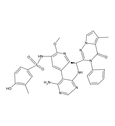 COc1ncc(-c2c(N)ncnc2N[C@@H](C)c2nn3ccc(C)c3c(=O)n2-c2ccccc2)cc1NS(=O)(=O)c1ccc(O)c(C)c1